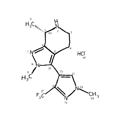 C[C@@H]1NCCc2c1nn(C)c2-c1cn(C)nc1C(F)(F)F.Cl